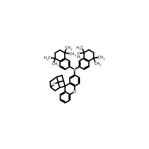 CC1(C)CCC(C)(C)c2cc(N(c3ccc4c(c3)C(C)(C)CCC4(C)C)c3ccc4c(c3)C3(c5ccccc5O4)C4CC5CC6CC3C64C5)ccc21